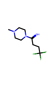 CN1CCN(C(=N)CCC(F)(F)F)CC1